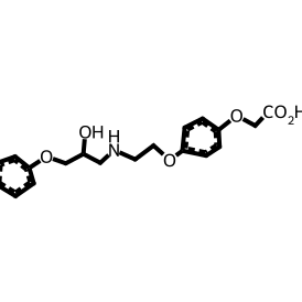 O=C(O)COc1ccc(OCCNCC(O)COc2ccccc2)cc1